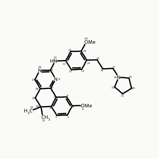 COc1ccc2c(c1)-c1nc(Nc3ccc(CCCN4CCCC4)c(OC)c3)ncc1CC2(C)C